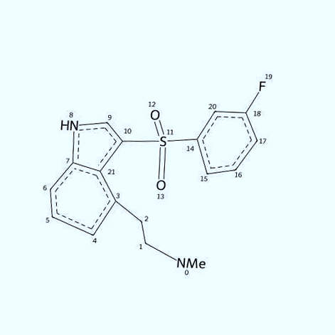 CNCCc1cccc2[nH]cc(S(=O)(=O)c3cccc(F)c3)c12